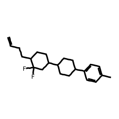 C=CCCC1CCC(C2CCC(c3ccc(C)cc3)CC2)CC1(F)F